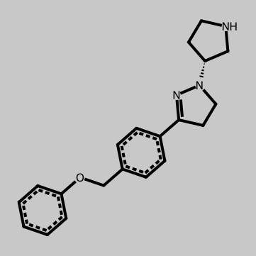 c1ccc(OCc2ccc(C3=NN([C@@H]4CCNC4)CC3)cc2)cc1